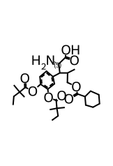 CCC(C)(C)C(=O)Oc1ccc(C(C(C)COC(=O)C2CCCCC2)[C@H](N)C(=O)O)cc1OC(=O)C(C)(C)CC